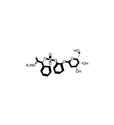 CC(=O)N[C@@H](C)[C@H](OS(=O)(=O)Oc1ccccc1OC1C[C@@H](O)[C@@H](O)[C@@H](CO)O1)c1ccccc1